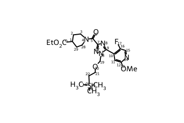 CCOC(=O)C1CCN(C(=O)c2nc(-c3cc(OC)ncc3F)n(COCC[Si](C)(C)C)n2)CC1